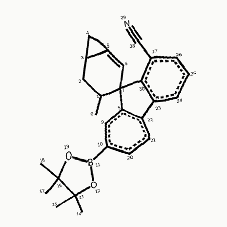 CC1CC2CC2=CC12c1cc(B3OC(C)(C)C(C)(C)O3)ccc1-c1cccc(C#N)c12